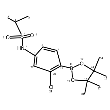 CC(C)S(=O)(=O)Nc1ccc(B2OC(C)(C)C(C)(C)O2)c(Cl)c1